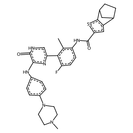 Cc1c(NC(=O)c2cc3c(s2)C2CCC3C2)ccc(F)c1-c1c[nH]c(=O)c(Nc2ccc(N3CCN(C)CC3)cc2)n1